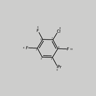 CC(C)c1cc(F)c(F)c(Cl)c1F